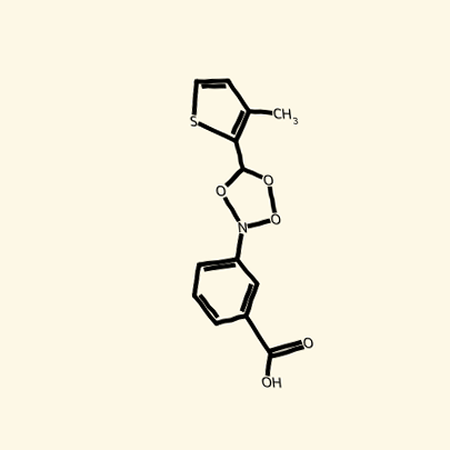 Cc1ccsc1C1OON(c2cccc(C(=O)O)c2)O1